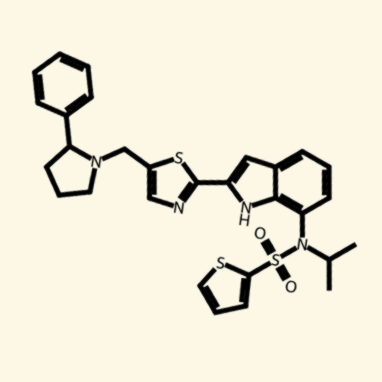 CC(C)N(c1cccc2cc(-c3ncc(CN4CCCC4c4ccccc4)s3)[nH]c12)S(=O)(=O)c1cccs1